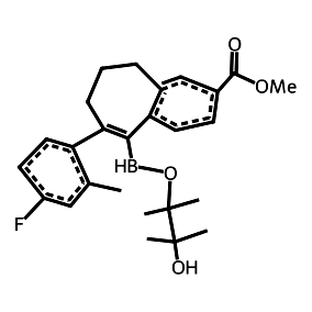 COC(=O)c1ccc2c(c1)CCCC(c1ccc(F)cc1C)=C2BOC(C)(C)C(C)(C)O